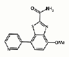 COc1ccc(-c2cccnc2)c2sc(C(N)=O)nc12